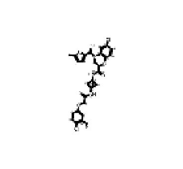 Cc1ccc(C(=O)N2CC(C(=O)NC34CC(NC(=O)COc5ccc(Cl)c(F)c5)(C3)C4)Oc3ccc(Cl)cc32)o1